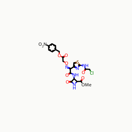 COC(=O)C1NC(=O)C1NC(=O)C(=NOCC(=O)OCc1ccc([N+](=O)[O-])cc1)c1csc(NC(=O)CCl)n1